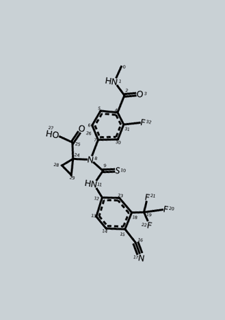 CNC(=O)c1ccc(N(C(=S)Nc2ccc(C#N)c(C(F)(F)F)c2)C2(C(=O)O)CC2)cc1F